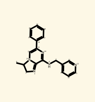 CC1CN=C2C(NCc3cccnc3)=NC(c3ccccc3)=CN21